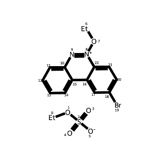 CCOS(=O)(=O)[O-].CCO[n+]1nc2ccccc2c2cc(Br)ccc21